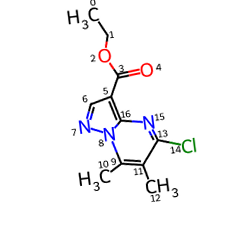 CCOC(=O)c1cnn2c(C)c(C)c(Cl)nc12